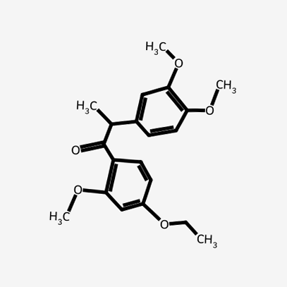 CCOc1ccc(C(=O)C(C)c2ccc(OC)c(OC)c2)c(OC)c1